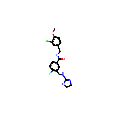 COc1ccc(CNC(=O)c2ccc(F)c(CNC3=NCCN3)c2)cc1Cl